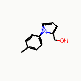 Cc1ccc(-n2cccc2CO)cc1